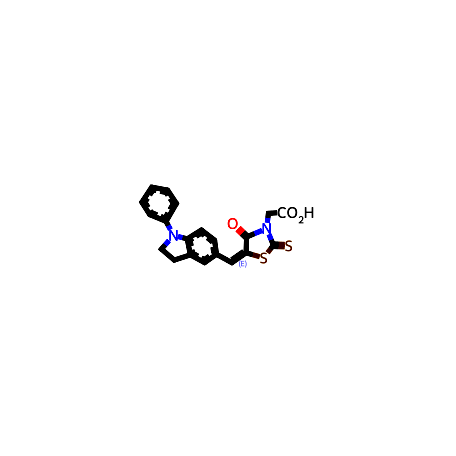 O=C(O)CN1C(=O)/C(=C\c2ccc3c(c2)CCN3c2ccccc2)SC1=S